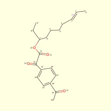 C/C=C/CCCCC(CC)OC(=O)C(=O)c1ccc(C(C)=O)cc1